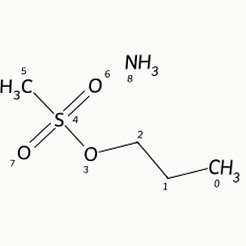 CCCOS(C)(=O)=O.N